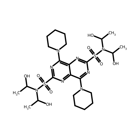 CC(O)N(C(C)O)S(=O)(=O)c1nc(N2CCCCC2)c2nc(S(=O)(=O)N(C(C)O)C(C)O)nc(N3CCCCC3)c2n1